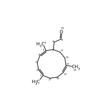 CC1=CCC=C(C)C(CC=O)CCC(C)=CCC1